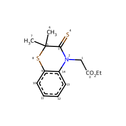 CCOC(=O)CN1C(=S)C(C)(C)Sc2ccccc21